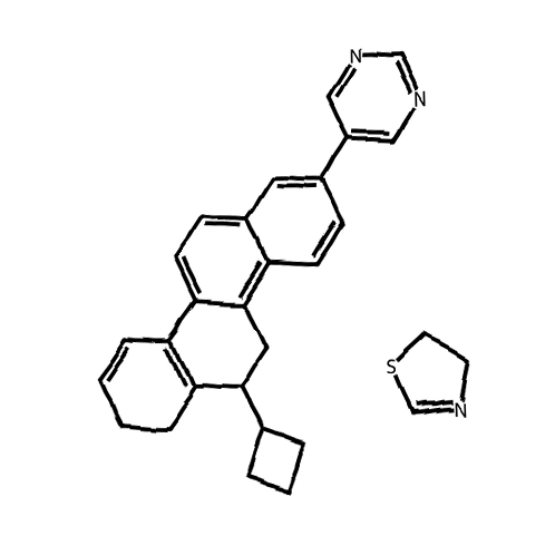 C1=CC2=C(CC1)C(C1CCC1)Cc1c2ccc2cc(-c3cncnc3)ccc12.C1=NCCS1